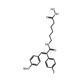 COc1ccc(/C=C(/C(=O)NCCCCCC(=O)NO)c2ccc(F)cc2)cc1